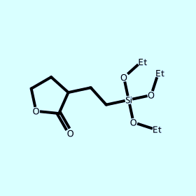 CCO[Si](CCC1CCOC1=O)(OCC)OCC